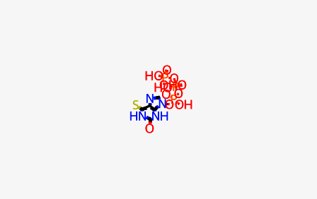 O=c1[nH]c(=S)c2ncn(OP(=O)(O)OP(=O)(O)OP(=O)(O)O)c2[nH]1